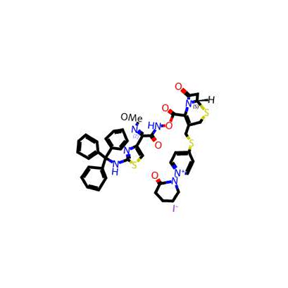 CO/N=C(\C(=O)NOC(=O)C1=C(CSc2cc[n+](N3CCCCC3=O)cc2)CS[C@H]2CC(=O)N12)c1csc(NC(c2ccccc2)(c2ccccc2)c2ccccc2)n1.[I-]